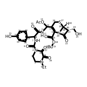 CCN1CCN(C(=O)NC(C(=O)NC(OC(C)=O)C2=C(C(=O)OC(C)(C)C)N3C(=O)[C@@H](CO)[C@H]3SC2)c2ccc(O)cc2)C(=O)C1=O